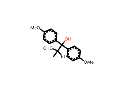 CCC(C)([C]=O)C(O)(c1ccc(OC)cc1)c1ccc(OC)cc1